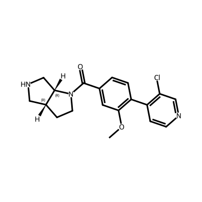 COc1cc(C(=O)N2CC[C@@H]3CNC[C@@H]32)ccc1-c1ccncc1Cl